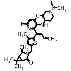 C=C/C=C(/c1nc(I)cc(C)c1NC1CCN(B(C)I)CC1)c1sc(CN2C(=C)C3C(C2=O)C3(C)C)cc1C